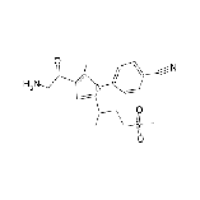 Cc1c(C(=O)CN)cc(C(C)CCS(C)(=O)=O)n1-c1ccc(C#N)cc1